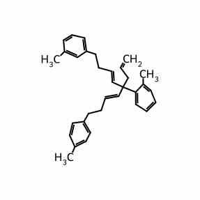 C=CCC(C=CCCc1ccc(C)cc1)(C=CCCc1cccc(C)c1)c1ccccc1C